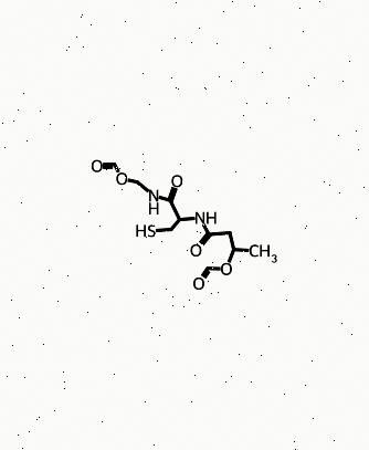 CC(CC(=O)NC(CS)C(=O)NCOC=O)OC=O